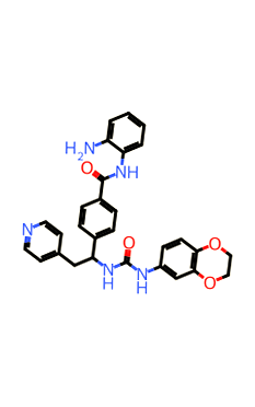 Nc1ccccc1NC(=O)c1ccc(C(Cc2ccncc2)NC(=O)Nc2ccc3c(c2)OCCO3)cc1